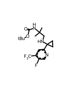 CC(C)(CNC1(c2cc(C(F)(F)F)c(F)cn2)CC1)NC(=O)OC(C)(C)C